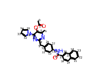 CC(=O)Oc1c(C)nc(Cc2ccc(NC(=O)c3ccc4ccccc4c3)cc2)nc1-n1cccc1